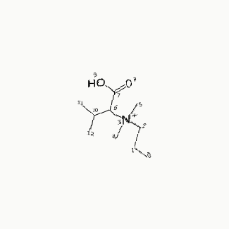 CCC[N+](C)(C)C(C(=O)O)C(C)C